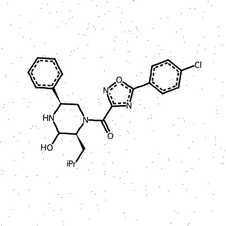 CC(C)C[C@H]1C(O)N[C@@H](c2ccccc2)CN1C(=O)c1noc(-c2ccc(Cl)cc2)n1